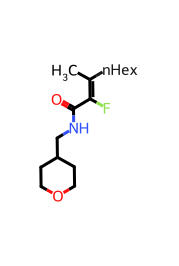 CCCCCCC(C)=C(F)C(=O)NCC1CCOCC1